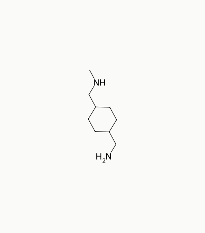 CNCC1CCC(CN)CC1